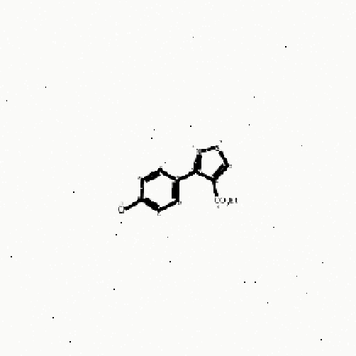 CCOC(=O)c1csnc1-c1ccc(Cl)cc1